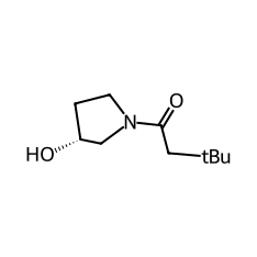 CC(C)(C)CC(=O)N1CC[C@@H](O)C1